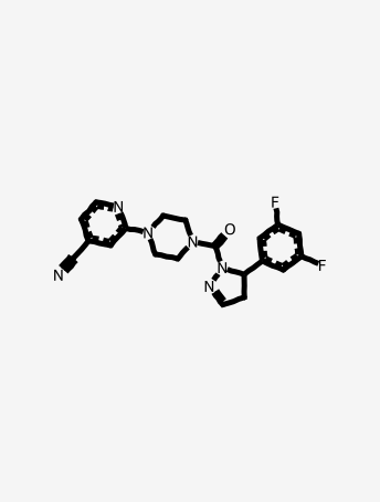 N#Cc1ccnc(N2CCN(C(=O)N3N=CCC3c3cc(F)cc(F)c3)CC2)c1